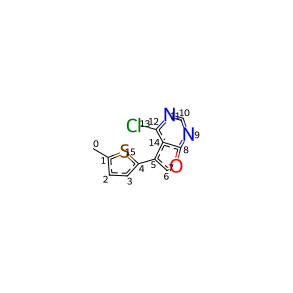 Cc1ccc(-c2coc3ncnc(Cl)c23)s1